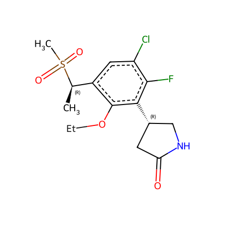 CCOc1c([C@@H](C)S(C)(=O)=O)cc(Cl)c(F)c1[C@@H]1CNC(=O)C1